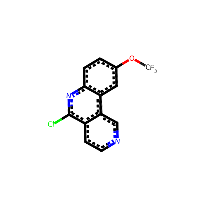 FC(F)(F)Oc1ccc2nc(Cl)c3ccncc3c2c1